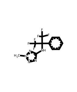 Cn1nnc(NC(c2ccccc2)(C(F)(F)F)C(F)(F)F)n1